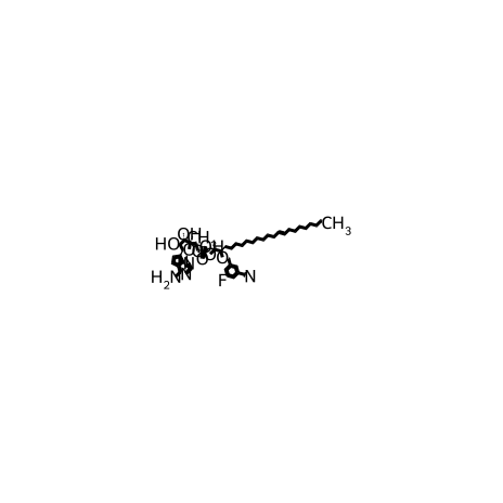 CCCCCCCC/C=C/CCCCCCCCCC[C@H](COP(=O)(O)OC[C@@]1(C)O[C@@H](c2ccc3c(N)ncnn23)[C@H](O)[C@@H]1O)OCc1cc(F)cc(C#N)c1